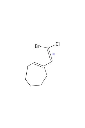 Cl/C(Br)=C/C1=CCCCCC1